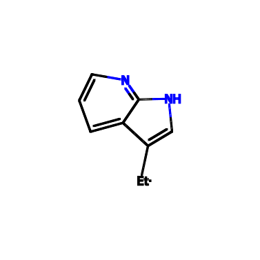 C[CH]c1c[nH]c2ncccc12